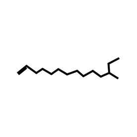 C=CCCCCCCCCCC(C)CC